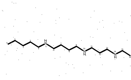 CCCCCNCCCCNCCCNCC